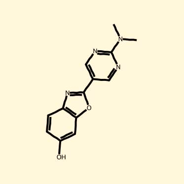 CN(C)c1ncc(-c2nc3ccc(O)cc3o2)cn1